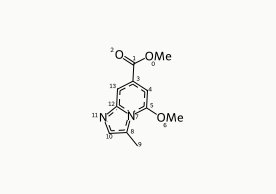 COC(=O)c1cc(OC)n2c(C)cnc2c1